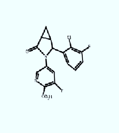 O=C(O)c1ncc(N2C(=O)C3CC3C2c2cccc(F)c2Cl)cc1F